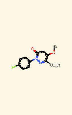 CCOC(=O)c1nn(-c2ccc(F)cc2)c(=O)cc1OCC